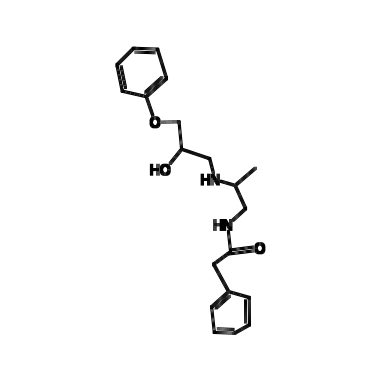 CC(CNC(=O)Cc1ccccc1)NCC(O)COc1ccccc1